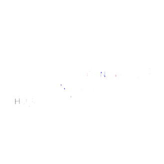 CN(c1cccc(-c2ccc(OCc3ccccc3)nc2OCc2ccccc2)c1)C1CC(C(=O)O)C1